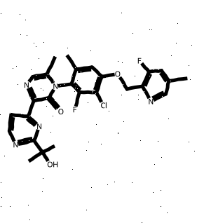 Cc1cnc(COc2cc(C)c(-n3c(C)cnc(-c4ccnc(C(C)(C)O)n4)c3=O)c(F)c2Cl)c(F)c1